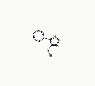 SSc1nnnn1-c1ccccc1